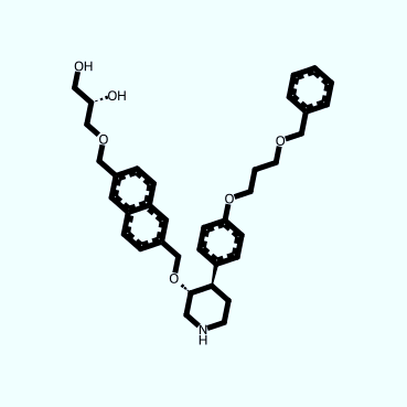 OC[C@H](O)COCc1ccc2cc(CO[C@H]3CNCC[C@@H]3c3ccc(OCCCOCc4ccccc4)cc3)ccc2c1